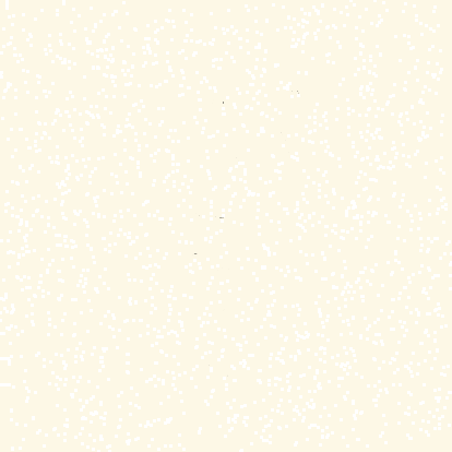 Cl.N#Cc1ccc(-c2cc(CCN)on2)cc1Cl